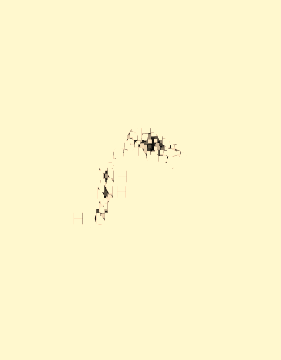 C=C1C[C@@H](C2OCCN2C(=O)OCCSSc2ccccc2)N(C(=O)c2cc(OC)c(OCCCOCCc3ccc(-c4nc5ccc(-c6nc7cc(N8CCN(C)CC8)ccc7[nH]6)cc5[nH]4)cc3)cc2N)C1